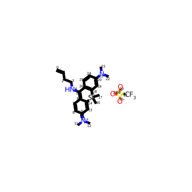 C=CCCNC1=C2C=CC(=[N+](C)C)C=C2[Si](C)(C)c2cc(N(C)C)ccc21.O=S(=O)([O-])C(F)(F)F